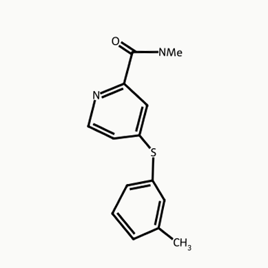 CNC(=O)c1cc(Sc2cccc(C)c2)ccn1